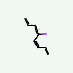 C=C/C=C\C(I)=C/C=C